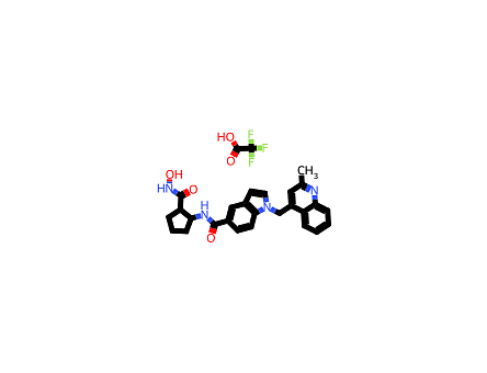 Cc1cc(Cn2ccc3cc(C(=O)NC4CCCC4C(=O)NO)ccc32)c2ccccc2n1.O=C(O)C(F)(F)F